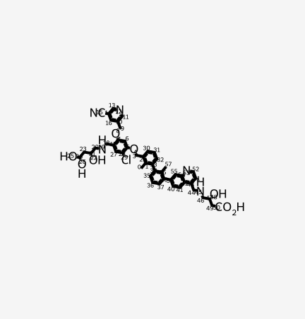 Cc1c(COc2cc(OCc3cncc(C#N)c3)c(CNC[C@@H](O)CC(O)O)cc2Cl)cccc1-c1cccc(-c2ccc3c(CNC[C@@H](O)CC(=O)O)ccnc3c2)c1C